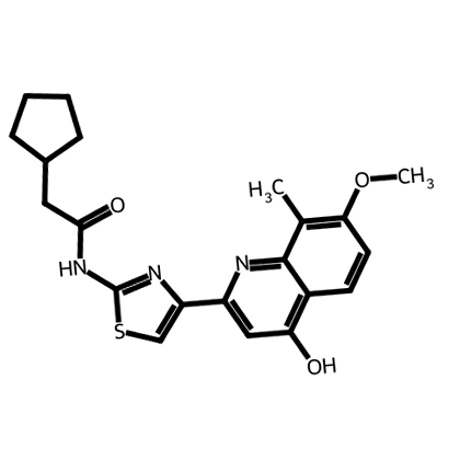 COc1ccc2c(O)cc(-c3csc(NC(=O)CC4CCCC4)n3)nc2c1C